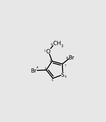 COc1c(Br)csc1Br